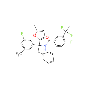 Cc1ccc(C(Cc2ccccc2)(NC(=O)c2ccc(F)c(C(C)(F)F)c2)c2cc(F)cc(C(F)(F)F)c2)o1